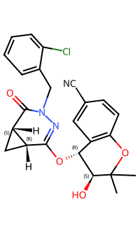 CC1(C)Oc2ccc(C#N)cc2[C@@H](OC2=NN(Cc3ccccc3Cl)C(=O)[C@H]3C[C@@H]23)[C@@H]1O